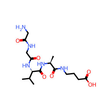 CC(C)[C@H](NC(=O)CNC(=O)CN)C(=O)N[C@@H](C)C(=O)NCCCC(=O)O